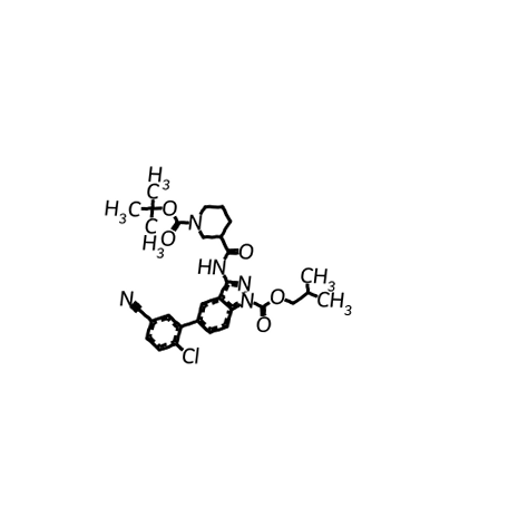 CC(C)COC(=O)n1nc(NC(=O)C2CCCN(C(=O)OC(C)(C)C)C2)c2cc(-c3cc(C#N)ccc3Cl)ccc21